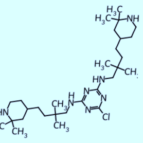 CC(C)(CCC1CCNC(C)(C)C1)CNc1nc(Cl)nc(NCC(C)(C)CCC2CCNC(C)(C)C2)n1